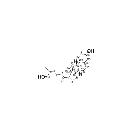 C/C(=C/CC[C@@H](C)[C@H]1CC[C@H]2[C@@H]3CC=C4CC(O)CC[C@]4(C)[C@H]3CC[C@]12C)CO